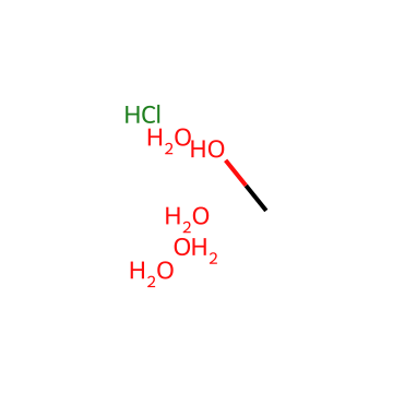 CO.Cl.O.O.O.O